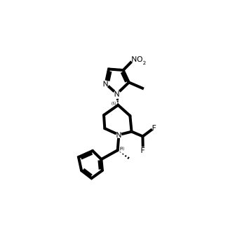 Cc1c([N+](=O)[O-])cnn1[C@H]1CCN([C@H](C)c2ccccc2)C(C(F)F)C1